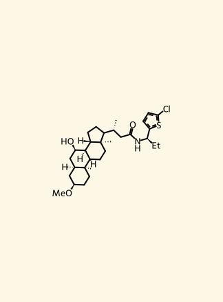 CC[C@@H](NC(=O)C[C@@H](C)C1CC[C@H]2[C@@H]3[C@H](O)C[C@@H]4C[C@H](OC)CC[C@]4(C)[C@H]3CC[C@]12C)c1ccc(Cl)s1